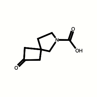 O=C1CC2(CCN(C(=O)O)C2)C1